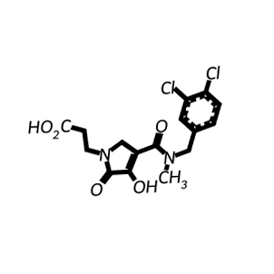 CN(Cc1ccc(Cl)c(Cl)c1)C(=O)C1=C(O)C(=O)N(CCC(=O)O)C1